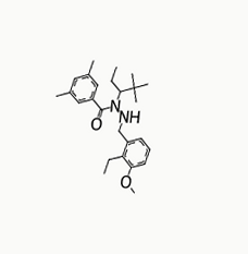 CCc1c(CNN(C(=O)c2cc(C)cc(C)c2)C(CC)C(C)(C)C)cccc1OC